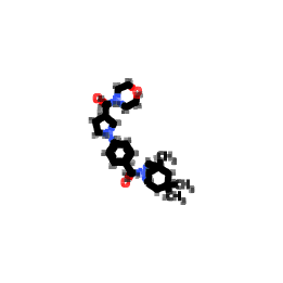 CC1(C)CC2CC(C)(CN2C(=O)c2ccc(N3CCC(C(=O)N4CCOCC4)C3)cc2)C1